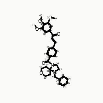 COc1cc(C(=O)/C=C/c2ccc(C(=O)N3CCN(Cc4ccccc4)C34CCOCC4)cc2)cc(OC)c1OC